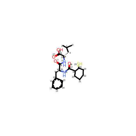 CC(C)C[C@H](NC(=O)[C@H](Cc1ccccc1)NC(=O)C1CCCCC1S)C(=O)O